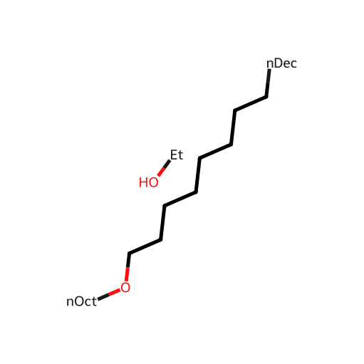 CCCCCCCCCCCCCCCCCCOCCCCCCCC.CCO